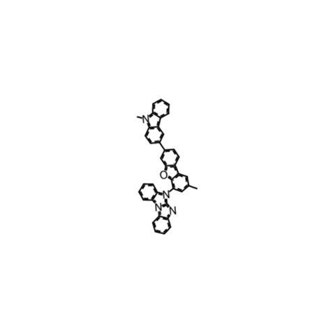 Cc1cc(-n2c3ccccc3n3c4ccccc4nc23)c2oc3cc(-c4ccc5c(c4)c4ccccc4n5C)ccc3c2c1